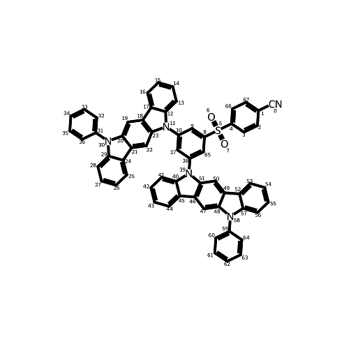 N#Cc1ccc(S(=O)(=O)c2cc(-n3c4ccccc4c4cc5c(cc43)c3ccccc3n5-c3ccccc3)cc(-n3c4ccccc4c4cc5c(cc43)c3ccccc3n5-c3ccccc3)c2)cc1